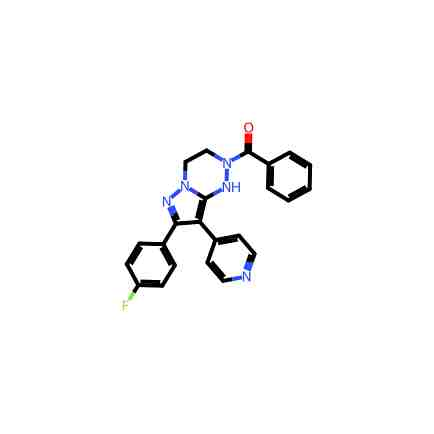 O=C(c1ccccc1)N1CCn2nc(-c3ccc(F)cc3)c(-c3ccncc3)c2N1